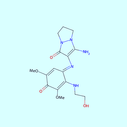 COC1=CC(=Nc2c(N)n3n(c2=O)CCC3)C(NCCO)=C(OC)C1=O